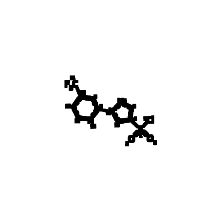 O=S(=O)(Cl)c1cnn(-c2cc(C(F)(F)F)ccn2)c1